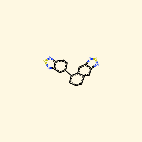 c1cc(-c2ccc3nsnc3c2)c2cc3nsnc3cc2c1